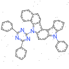 c1ccc(-c2nc(-c3ccccc3)nc(-n3c4ccc5c(c6ccccc6n5-c5ccccc5)c4c4ccc5ccccc5c43)n2)cc1